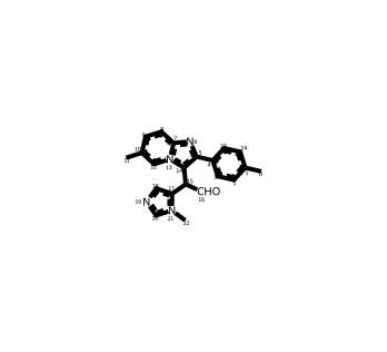 Cc1ccc(-c2nc3ccc(C)cn3c2C(C=O)c2cncn2C)cc1